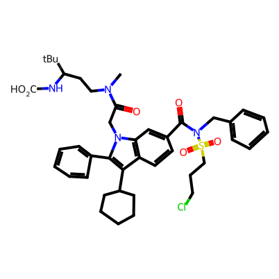 CN(CCC(NC(=O)O)C(C)(C)C)C(=O)Cn1c(-c2ccccc2)c(C2CCCCC2)c2ccc(C(=O)N(Cc3ccccc3)S(=O)(=O)CCCCl)cc21